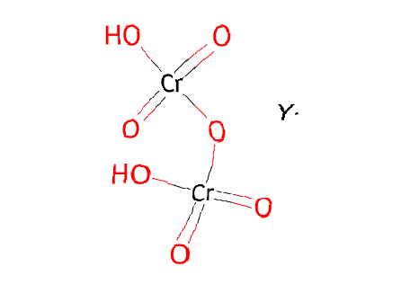 [O]=[Cr](=[O])([OH])[O][Cr](=[O])(=[O])[OH].[Y]